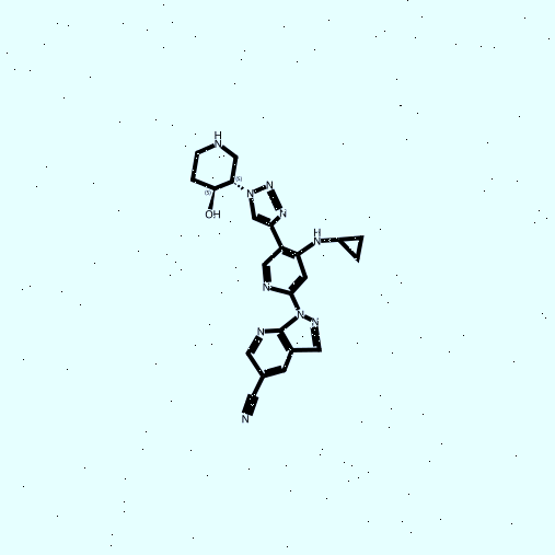 N#Cc1cnc2c(cnn2-c2cc(NC3CC3)c(-c3cn([C@H]4CNCC[C@@H]4O)nn3)cn2)c1